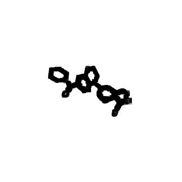 O=C(c1cnc2c(c1)OCCN2c1ccc2c(=O)[nH]ncc2c1)N1CCCCC1